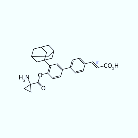 NC1(C(=O)Oc2ccc(-c3ccc(/C=C/C(=O)O)cc3)cc2C23CC4CC(CC(C4)C2)C3)CC1